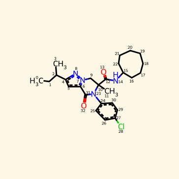 CCC(C)c1cc2n(n1)CC(C)(C(=O)NC1CCCCCCC1)N(c1ccc(Cl)cc1)C2=O